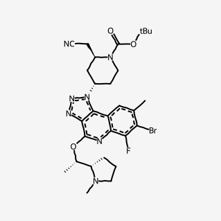 Cc1cc2c(nc(O[C@@H](C)[C@@H]3CCCN3C)c3nnn([C@H]4CCN(C(=O)OC(C)(C)C)[C@H](CC#N)C4)c32)c(F)c1Br